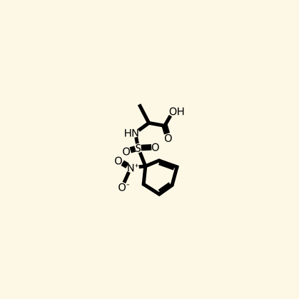 CC(NS(=O)(=O)C1([N+](=O)[O-])C=CC=CC1)C(=O)O